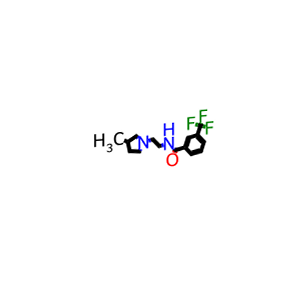 CC1CCN(CCNC(=O)c2cccc(C(F)(F)F)c2)C1